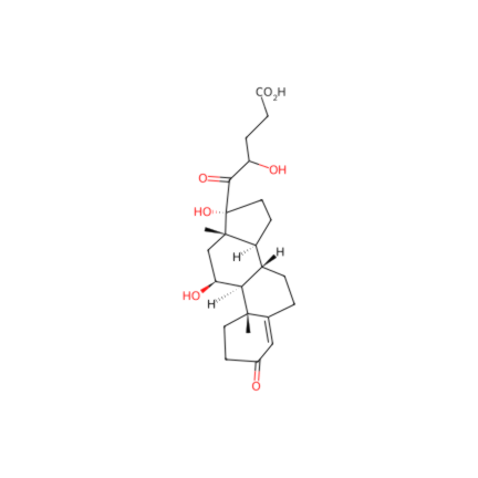 C[C@]12CCC(=O)C=C1CC[C@@H]1[C@@H]2[C@@H](O)C[C@@]2(C)[C@H]1CC[C@]2(O)C(=O)C(O)CCC(=O)O